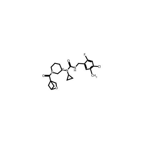 Cc1cc(CNC(=O)N(C2CC2)[C@@H]2CCCN(C(=O)C34COC(C3)C4)C2)c(F)cc1Cl